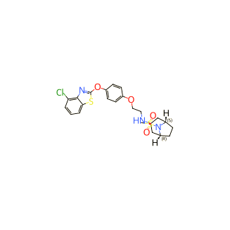 CS(=O)(=O)N1[C@@H]2CC[C@H]1CC(NCCOc1ccc(Oc3nc4c(Cl)cccc4s3)cc1)C2